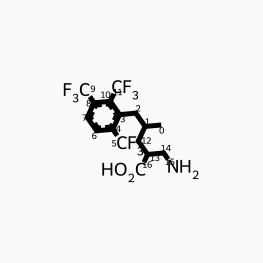 CC(Cc1c(C(F)(F)F)ccc(C(F)(F)F)c1C(F)(F)F)CC(CN)C(=O)O